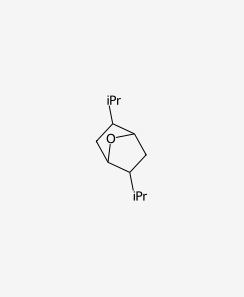 CC(C)C1CC2OC1CC2C(C)C